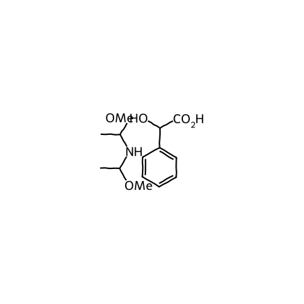 COC(C)NC(C)OC.O=C(O)C(O)c1ccccc1